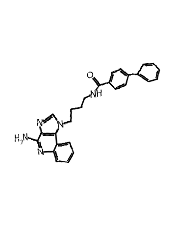 Nc1nc2ccccc2c2c1ncn2CCCCNC(=O)c1ccc(-c2ccccc2)cc1